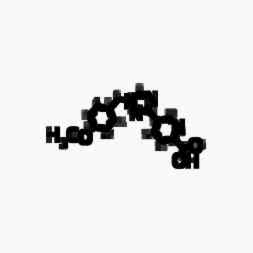 COc1ccc(Cn2cnc(-c3ccc(C(=O)O)nc3)n2)cc1